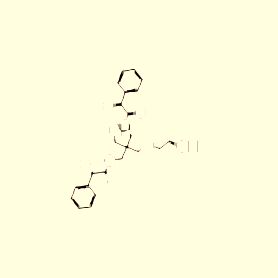 C=CCOCC(CC)(COC(=O)C(=O)c1ccccc1)COC(=O)C(=O)c1ccccc1